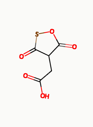 O=C(O)CC1C(=O)OSC1=O